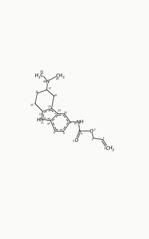 C=CCOC(=O)Nc1ccc2[nH]c3c(c2c1)CC(N(C)C)CC3